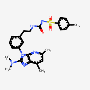 Cc1ccc(S(=O)(=O)NC(=O)NCCc2cccc(-n3c(N(C)C)nc4c(C)cc(C)nc43)c2)cc1